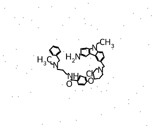 CCN(CCCNC(=O)c1ccc(OC2CCN(Cc3ccc4c(c3)c3cc(N)ccc3n4CC)CC2)c(Cl)c1)Cc1ccccc1